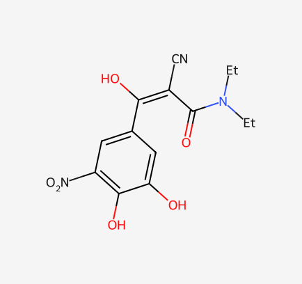 CCN(CC)C(=O)C(C#N)=C(O)c1cc(O)c(O)c([N+](=O)[O-])c1